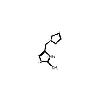 CC1NC(CN2CCCC2)=CS1